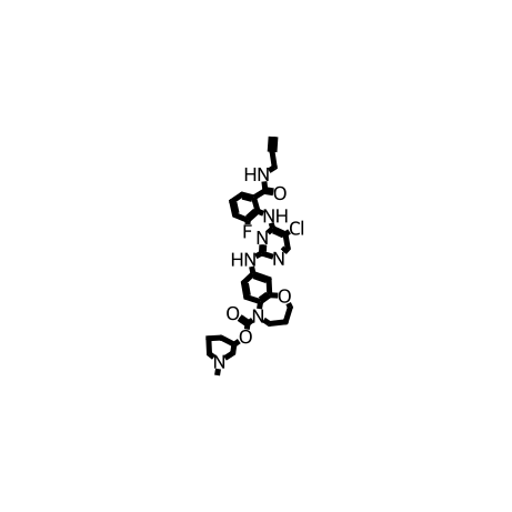 C#CCNC(=O)c1cccc(F)c1Nc1nc(Nc2ccc3c(c2)OCCCN3C(=O)OC2CCCN(C)C2)ncc1Cl